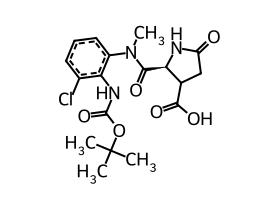 CN(C(=O)[C@H]1NC(=O)CC1C(=O)O)c1cccc(Cl)c1NC(=O)OC(C)(C)C